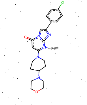 CCCCCn1c(N2CCC(N3CCOCC3)CC2)cc(=O)n2cc(-c3ccc(Cl)cc3)nc12